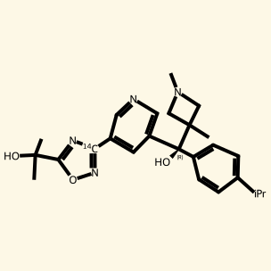 CC(C)c1ccc([C@](O)(c2cncc(-[14c]3noc(C(C)(C)O)n3)c2)C2(C)CN(C)C2)cc1